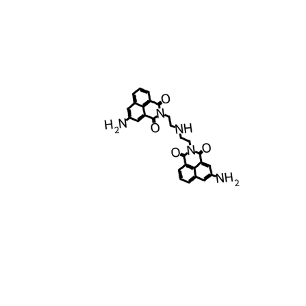 Nc1cc2c3c(cccc3c1)C(=O)N(CCNCCN1C(=O)c3cccc4cc(N)cc(c34)C1=O)C2=O